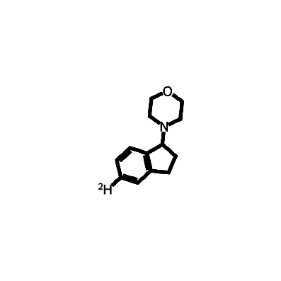 [2H]c1ccc2c(c1)CCC2N1CCOCC1